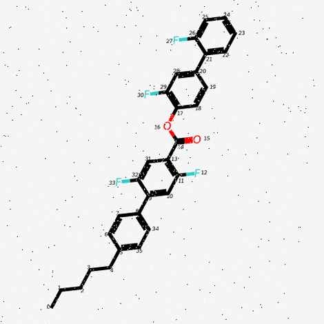 CCCCCc1ccc(-c2cc(F)c(C(=O)Oc3ccc(-c4ccccc4F)cc3F)cc2F)cc1